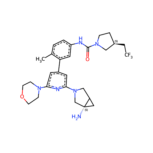 Cc1ccc(NC(=O)N2CC[C@@H](CC(F)(F)F)C2)cc1-c1cc(N2CCOCC2)nc(N2CC3C[C@@]3(N)C2)c1